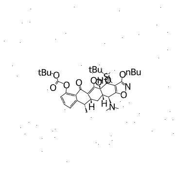 CCCCOc1noc2c1C(=O)[C@@]1(O[Si](C)(C)C(C)(C)C)C(O)=C3C(=O)c4c(OC(=O)OC(C)(C)C)cccc4[C@H](C)[C@H]3C[C@H]1[C@@H]2N(C)C